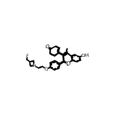 CC1=C(C2=CCC(=O)CC2)C(c2ccc(OCCN3CC(CF)C3)cc2)Oc2ccc(O)cc21